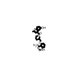 Cc1cc(C(=O)N2CCCC(COc3cccc4c3C(N)=NSN4)C2)c2cc(O)ccc2n1